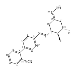 C[C@H]1[C@H](/C=C/c2ccc(-c3ccccc3C#N)cn2)CC(=NO)C[C@@H]1C